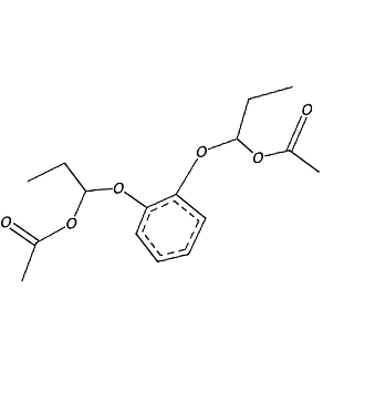 CCC(OC(C)=O)Oc1ccccc1OC(CC)OC(C)=O